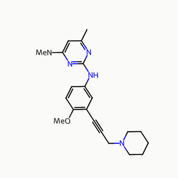 CNc1cc(C)nc(Nc2ccc(OC)c(C#CCN3CCCCC3)c2)n1